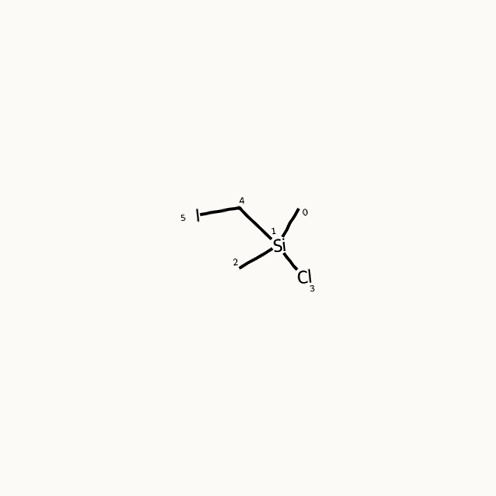 C[Si](C)(Cl)CI